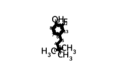 CC(C)(C)CCc1ccc(O)c(F)c1